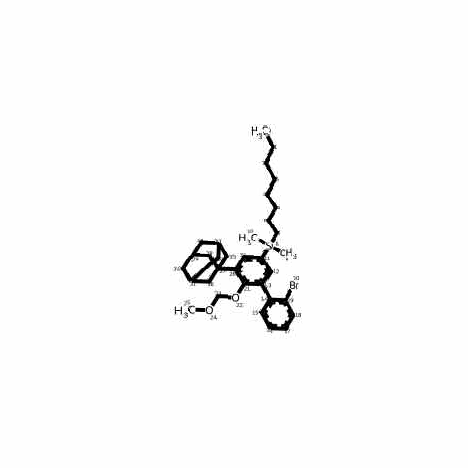 CCCCCCCC[Si](C)(C)c1cc(-c2ccccc2Br)c(OCOC)c(C23CC4CC(CC(C4)C2)C3)c1